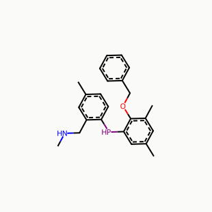 CNCc1cc(C)ccc1Pc1cc(C)cc(C)c1OCc1ccccc1